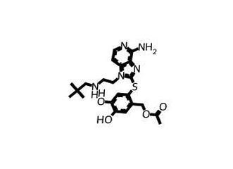 CC(=O)OCc1cc(O)c(O)cc1Sc1nc2c(N)nccc2n1CCNCC(C)(C)C